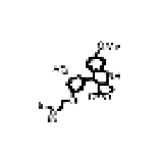 CCN(CC)CCOc1cccc(C2C3=C(COC3=O)Nc3cc(OC)ccc32)c1.Cl